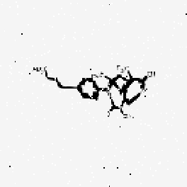 CN(C(=S)N(c1ccc(CCCC(=O)O)cc1)C1(C=O)CCC1)c1cnc(C#N)c(C(F)(F)F)c1